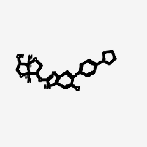 OC1CO[C@@H]2C(Oc3nc4cc(-c5ccc(N6CCCC6)cc5)c(Cl)cc4[nH]3)CO[C@H]12